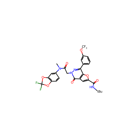 CN(C(=O)Cn1nc(-c2cccc(OC(F)(F)F)c2)c2oc(C(=O)NC(C)(C)C)cc2c1=O)c1ccc2c(c1)OC(F)(F)O2